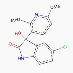 COc1ccc(C2(O)C(=O)Nc3ccc(Cl)cc32)c(OC)n1